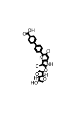 O=C(O)C1CC=C(c2ccc(-c3nc4c(Cl)c(O[C@@H]5CO[C@H]6[C@@H]5OC[C@H]6O)[nH]c4cc3Cl)cc2)CC1